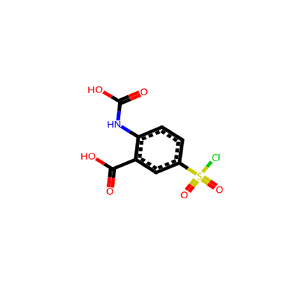 O=C(O)Nc1ccc(S(=O)(=O)Cl)cc1C(=O)O